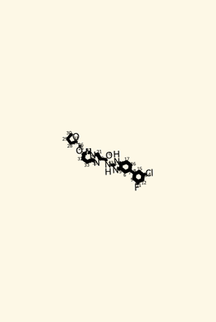 O=C(Nc1nc2cc(-c3cc(F)cc(Cl)c3)ccc2[nH]1)c1cn2nc(OC[C@@H]3CCCO3)ccc2n1